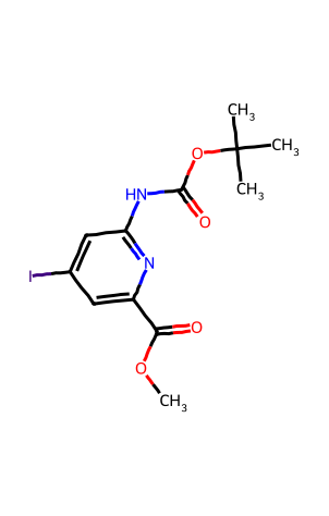 COC(=O)c1cc(I)cc(NC(=O)OC(C)(C)C)n1